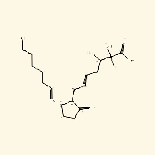 CCCCCCC=C[C@H]1CCC(=O)[C@@H]1CC=CCC(O)C(O)(O)C(=O)O